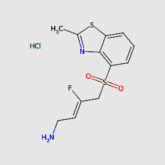 Cc1nc2c(S(=O)(=O)C/C(F)=C/CN)cccc2s1.Cl